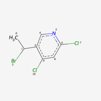 CC(Br)c1cnc(Cl)cc1Cl